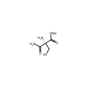 COC(=O)[C@@](N)(CS)C(N)=O